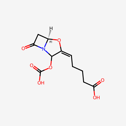 O=C(O)CCCC=C1O[C@@H]2CC(=O)N2C1OC(=O)O